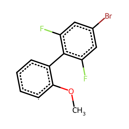 COc1[c]cccc1-c1c(F)cc(Br)cc1F